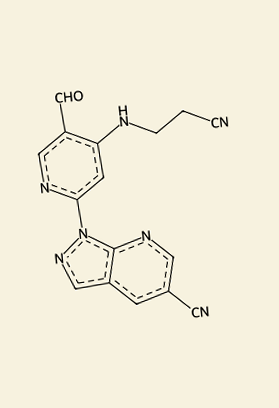 N#CCCNc1cc(-n2ncc3cc(C#N)cnc32)ncc1C=O